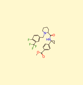 COC(=O)c1ccc(C2(NC(=O)C3CCCCN3Cc3ccc(F)c(C(F)(F)F)c3)CC2)cc1